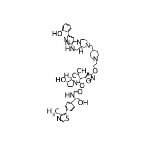 Cc1ncsc1-c1ccc([C@H](CO)NC(=O)[C@@H]2C[C@@H](O)CN2C(=O)[C@H](c2cc(OCCN3CCC(CN4CCN5c6cc(-c7ccccc7O)nnc6NC[C@H]5C4)CC3)no2)C(C)C)cc1